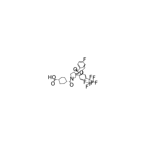 CCCc1cc(C(F)(C(F)(F)F)C(F)(F)F)ccc1[C@@]1(S(=O)(=O)c2ccc(F)cc2)CCN(C(=O)[C@H]2CC[C@H](C(=O)O)CC2)C1